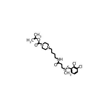 C=C(C)OC(=O)N1CCN(CCCCNC(=O)CCN(C)Sc2cccc(Cl)c2Cl)CC1